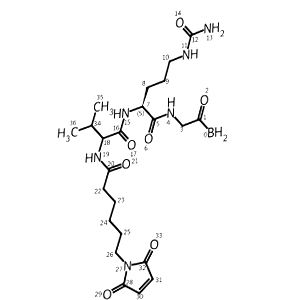 BC(=O)CNC(=O)[C@H](CCCNC(N)=O)NC(=O)C(NC(=O)CCCCCN1C(=O)C=CC1=O)C(C)C